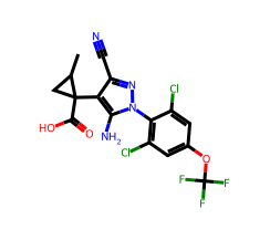 CC1CC1(C(=O)O)c1c(C#N)nn(-c2c(Cl)cc(OC(F)(F)F)cc2Cl)c1N